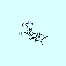 CC(C)CCC[C@@H](C)[C@H]1CCC2=C3CC[C@]4(C#N)CC(=O)CC[C@]4(C)[C@H]3CC[C@@]21C